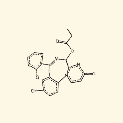 CCC(=O)OC1N=C(c2ccccc2Cl)c2cc(Cl)ccc2-n2ccc(=O)nc21